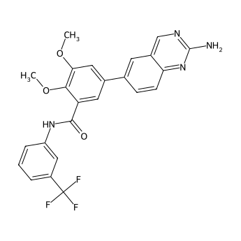 COc1cc(-c2ccc3nc(N)ncc3c2)cc(C(=O)Nc2cccc(C(F)(F)F)c2)c1OC